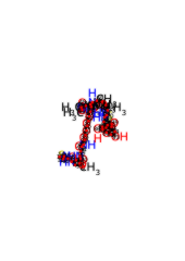 COc1ccc(NC(=O)c2cn3ccsc3n2)cc1C(=O)NCCCC(=O)NCCOCCOCCOCCOCCNC(=O)[C@@H](CCC(=O)N(C)OC)NC(=O)CC(C)(C)COCC(C)(C)CNC(=S)Nc1ccc2c(c1)C(=O)OC21c2ccc(O)cc2Oc2cc(O)ccc21